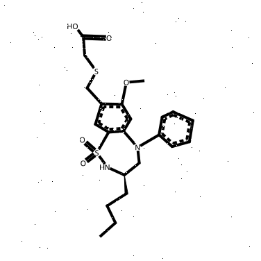 CCCC[C@@H]1CN(c2ccccc2)c2cc(OC)c(CSCC(=O)O)cc2S(=O)(=O)N1